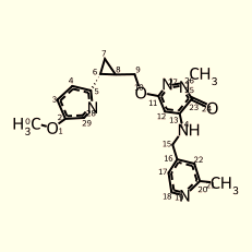 COc1ccc([C@@H]2CC2COc2cc(NCc3ccnc(C)c3)c(=O)n(C)n2)nc1